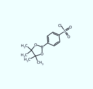 CC1(C)OB(c2ccc(S(=O)(=O)Cl)cc2)OC1(C)C